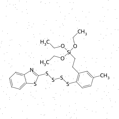 CCO[Si](CCc1cc(C)ccc1SSSSc1nc2ccccc2s1)(OCC)OCC